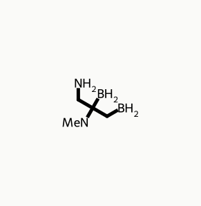 BCC(B)(CN)NC